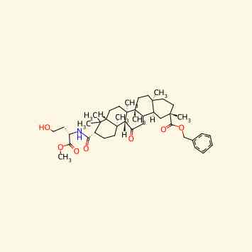 COC(=O)[C@H](CCO)NC(=O)[C@H]1CC[C@]2(C)[C@H]3C(=O)C=C4[C@@H]5C[C@@](C)(C(=O)OCc6ccccc6)CC[C@]5(C)CC[C@@]4(C)[C@]3(C)CC[C@H]2C1(C)C